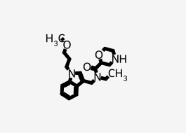 CCN(Cc1cn(CCCOC)c2ccccc12)C(=O)C1CNCCO1